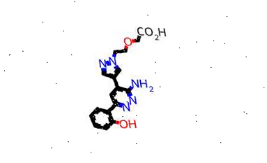 Nc1nnc(-c2ccccc2O)cc1-c1cnn(CCOCC(=O)O)c1